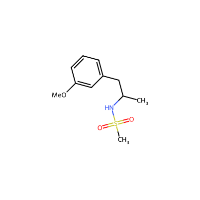 COc1cccc(CC(C)NS(C)(=O)=O)c1